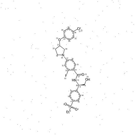 CCS(=O)(=O)c1ccc([C@H](CO)NC(=O)c2ccc(N3CCC(Oc4ccc(C(F)(F)F)cc4)C3)cc2F)cc1